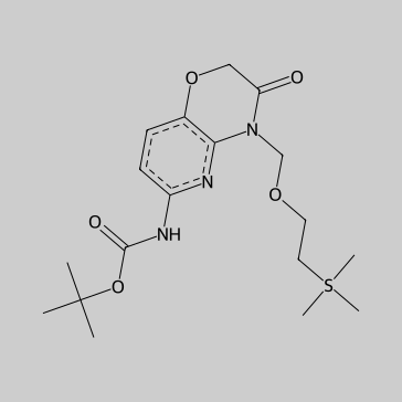 CC(C)(C)OC(=O)Nc1ccc2c(n1)N(COCCS(C)(C)C)C(=O)CO2